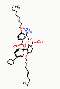 CCCCCCCCOc1ccc(C(=O)OC2(c3c(OCCCCCCCC)ccc(C(=O)O)c3OCCCN)C=CC(c3ccccc3)=CC2)cc1